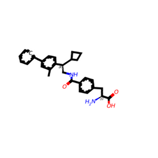 Cc1cc(-c2ccccc2)ccc1[C@H](CNC(=O)c1ccc(C[C@H](N)C(=O)O)cc1)C1CCC1